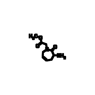 COC(=O)CN1CC=CCC(N)C1=O